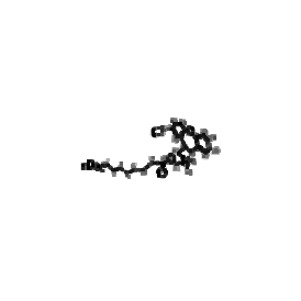 CCCCCCCCCCCCCCCCCC(=O)OC[N+]1(C)CC2c3ccccc3Oc3ccc(Cl)cc3C2C1